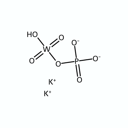 O=P([O-])([O-])[O][W](=[O])(=[O])[OH].[K+].[K+]